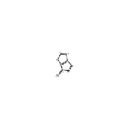 O=C1N=CC2=C1CCS2